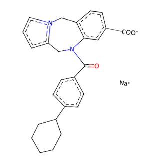 O=C([O-])c1ccc2c(c1)N(C(=O)c1ccc(C3CCCCC3)cc1)Cc1cccn1C2.[Na+]